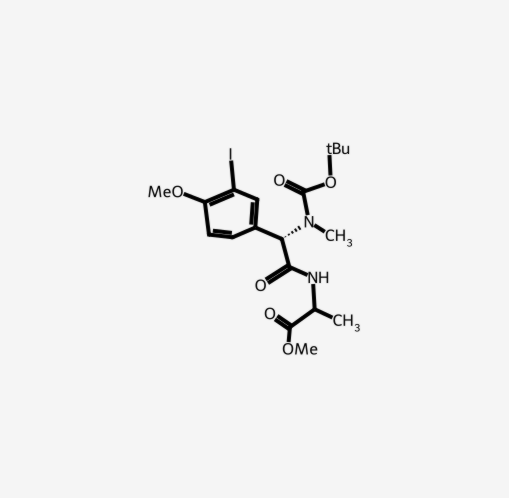 COC(=O)C(C)NC(=O)[C@H](c1ccc(OC)c(I)c1)N(C)C(=O)OC(C)(C)C